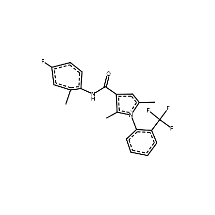 Cc1cc(F)ccc1NC(=O)c1cc(C)n(-c2ccccc2C(F)(F)F)c1C